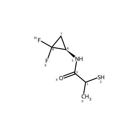 CC(S)C(=O)N[C@@H]1CC1(F)F